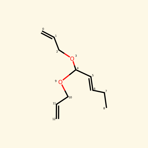 C=CCOC(C=CCC)OCC=C